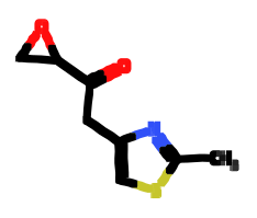 Cc1nc(CC(=O)C2CO2)cs1